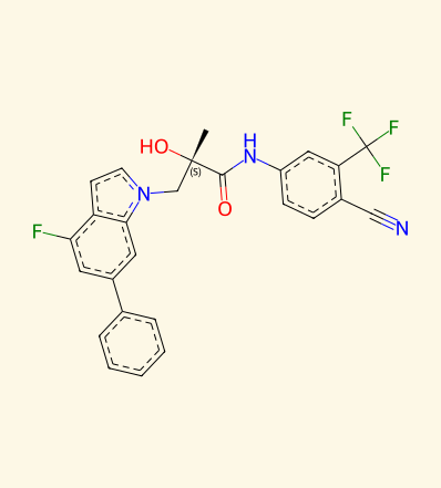 C[C@](O)(Cn1ccc2c(F)cc(-c3ccccc3)cc21)C(=O)Nc1ccc(C#N)c(C(F)(F)F)c1